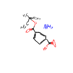 CC(C)(C)OC(=O)c1ccc(C(=O)O)cc1.N